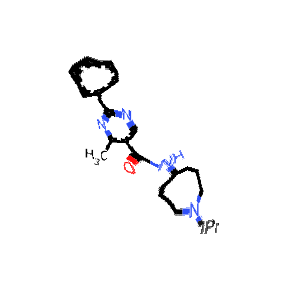 Cc1nc(-c2ccccc2)ncc1C(=O)NC1CCN(C(C)C)CC1